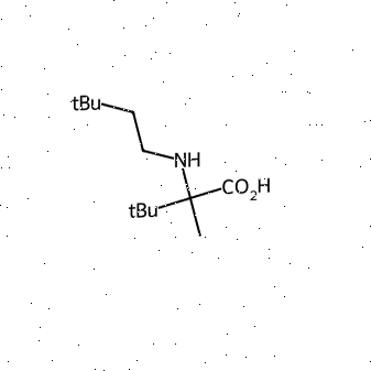 CC(C)(C)CCNC(C)(C(=O)O)C(C)(C)C